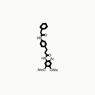 COc1cc(NC(=O)CCc2ccc(NC(=O)Cc3ccccc3)cc2)c(C(C)=O)cc1OC